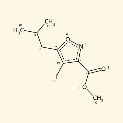 COC(=O)c1noc(CC(C)C)c1I